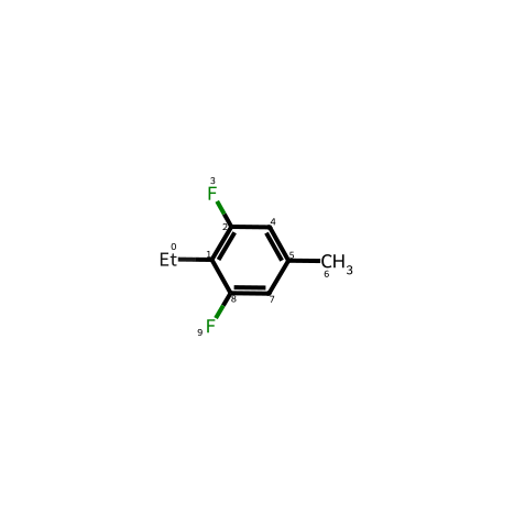 [CH2]Cc1c(F)cc(C)cc1F